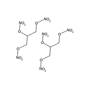 O=[N+]([O-])OCC(CO[N+](=O)[O-])O[N+](=O)[O-].O=[N+]([O-])OCC(CO[N+](=O)[O-])O[N+](=O)[O-]